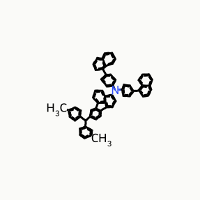 Cc1ccc(C(c2cccc(C)c2)c2ccc3c(c2)-c2cccc4c(N(c5ccc(-c6cccc7ccccc67)cc5)c5ccc(-c6cccc7ccccc67)cc5)ccc-3c24)cc1